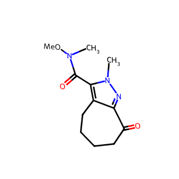 CON(C)C(=O)c1c2c(nn1C)C(=O)CCCC2